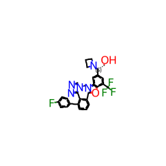 Cn1cnnc1-c1c(-c2ccc(F)cc2)cccc1-c1nc2cc([C@@H](CO)N3CCC3)cc(C(F)(F)F)c2o1